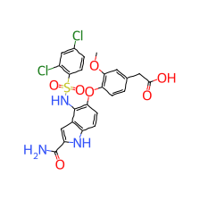 COc1cc(CC(=O)O)ccc1Oc1ccc2[nH]c(C(N)=O)cc2c1NS(=O)(=O)c1ccc(Cl)cc1Cl